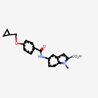 Cn1c(C(=O)O)cc2cc(NC(=O)c3ccc(OCC4CC4)cc3)ccc21